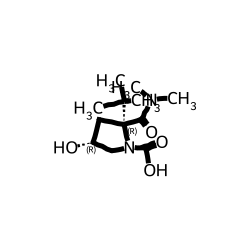 CN(C)C(=O)[C@]1(C(C)(C)C)C[C@@H](O)CN1C(=O)O